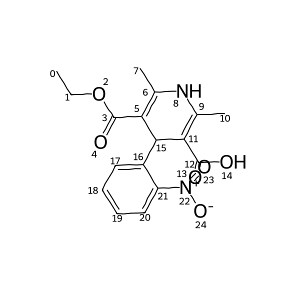 CCOC(=O)C1=C(C)NC(C)=C(C(=O)O)C1c1ccccc1[N+](=O)[O-]